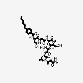 CCCCCCc1ccc(C(=O)N[C@H](CCO)C(=O)NCC(=O)NCC(=O)N(C)[C@H](C(=O)N[C@@H](N)C(=O)N[C@@H](CC(C)C)C(=O)NC(C)C(=O)C(=O)NC)[C@@H](C)O)cc1